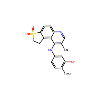 COc1ccc(Nc2c(C#N)cnc3ccc4c(c23)CCS4(=O)=O)cc1O